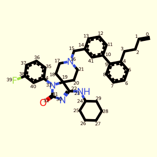 C=CCCc1ccccc1-c1cccc(CN2CCC3(CC2)C(NC2CCCCC2)=NC(=O)N3c2cccc(F)c2)c1